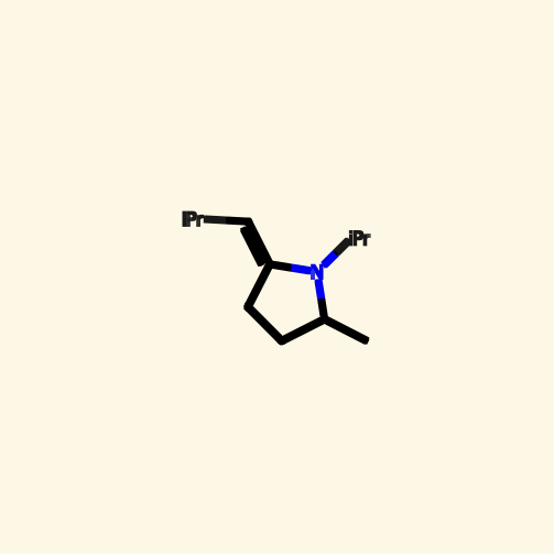 CC(C)/C=C1\CCC(C)N1C(C)C